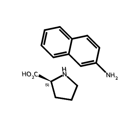 Nc1ccc2ccccc2c1.O=C(O)[C@@H]1CCCN1